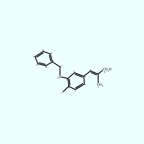 C/C(=C\c1ccc(I)c(OCc2ccccc2)c1)C(=O)O